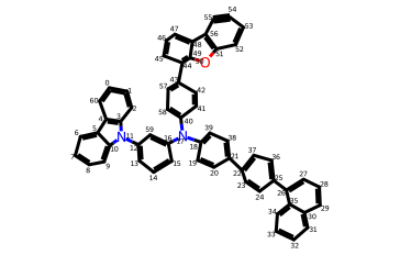 C1=C=Cc2c(c3ccccc3n2-c2cccc(N(c3ccc(-c4ccc(-c5cccc6ccccc56)cc4)cc3)c3ccc(-c4cccc5c4oc4ccc#cc45)cc3)c2)C=1